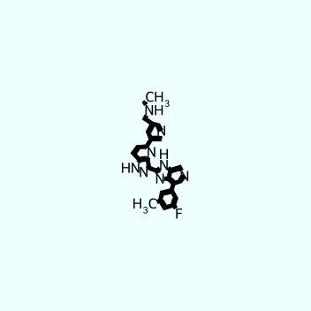 CCNCc1cncc(-c2ccc3[nH]nc(-c4nc5c(-c6cc(C)cc(F)c6)cncc5[nH]4)c3n2)c1